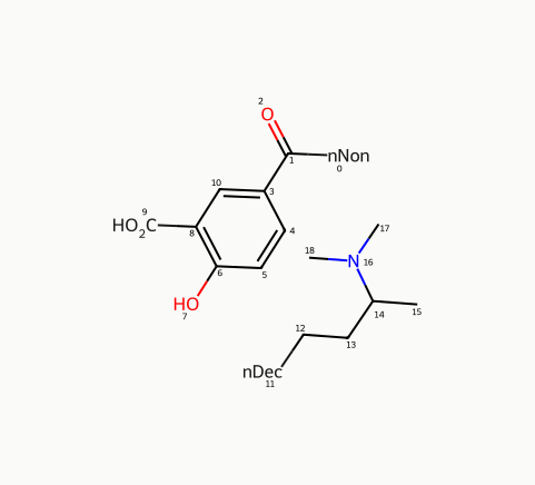 CCCCCCCCCC(=O)c1ccc(O)c(C(=O)O)c1.CCCCCCCCCCCCC(C)N(C)C